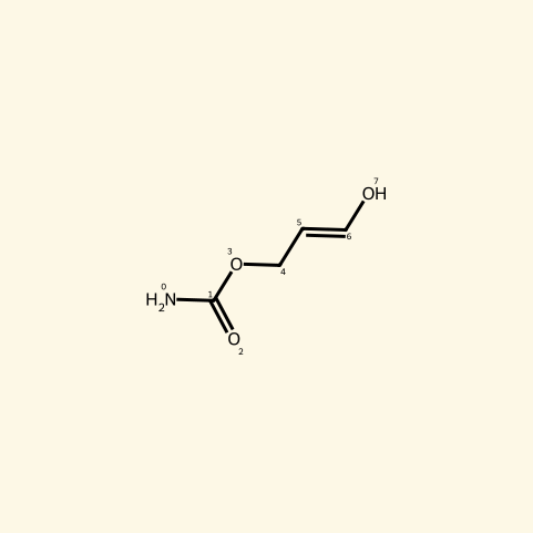 NC(=O)OCC=CO